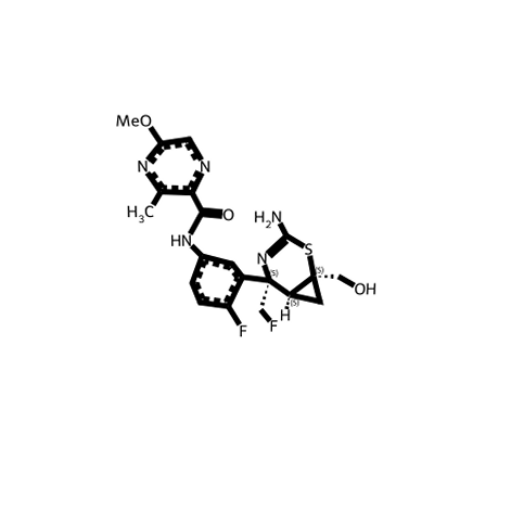 COc1cnc(C(=O)Nc2ccc(F)c([C@@]3(CF)N=C(N)S[C@@]4(CO)C[C@H]43)c2)c(C)n1